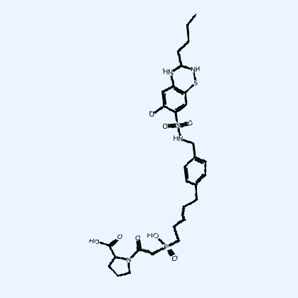 CCCCC1NSc2cc(S(=O)(=O)NCc3ccc(CCCCCP(=O)(O)CC(=O)N4CCCC4C(=O)O)cc3)c(Cl)cc2N1